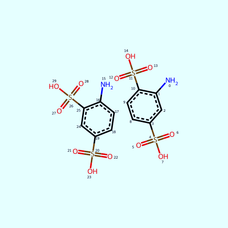 Nc1cc(S(=O)(=O)O)ccc1S(=O)(=O)O.Nc1ccc(S(=O)(=O)O)cc1S(=O)(=O)O